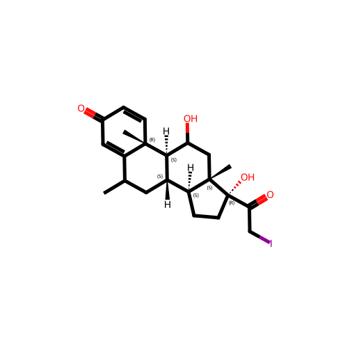 CC1C[C@@H]2[C@H](C(O)C[C@@]3(C)[C@H]2CC[C@]3(O)C(=O)CI)[C@@]2(C)C=CC(=O)C=C12